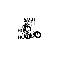 C=C(C)C(=O)O.C=C(C)C(=O)O.OCC1(CO)CCCCCCCCC1.OCC1(CO)CCCCCCCCC1.OCC1(CO)CCCCCCCCC1